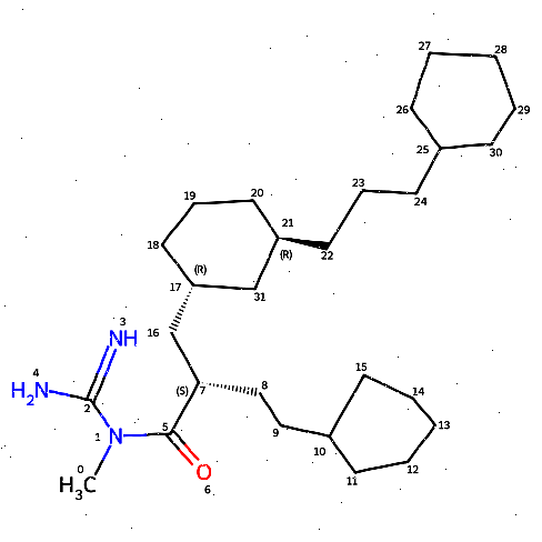 CN(C(=N)N)C(=O)[C@@H](CCC1CCCCC1)C[C@@H]1CCC[C@@H](CCCC2CCCCC2)C1